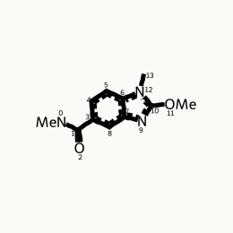 CNC(=O)c1ccc2c(c1)nc(OC)n2C